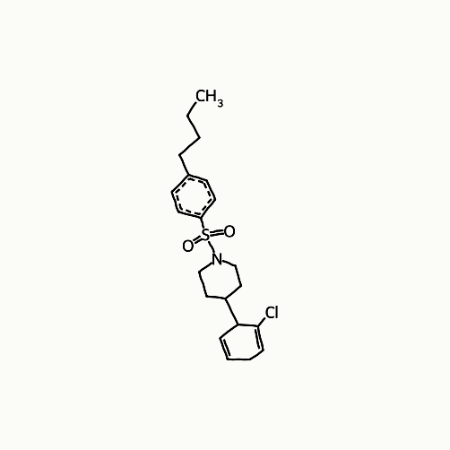 CCCCc1ccc(S(=O)(=O)N2CCC(C3C=CCC=C3Cl)CC2)cc1